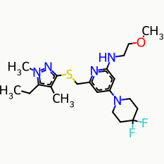 CCc1c(C)c(SCc2cc(N3CCC(F)(F)CC3)cc(NCCOC)n2)nn1C